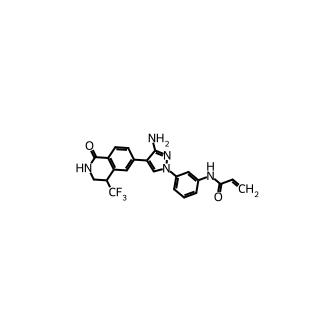 C=CC(=O)Nc1cccc(-n2cc(-c3ccc4c(c3)C(C(F)(F)F)CNC4=O)c(N)n2)c1